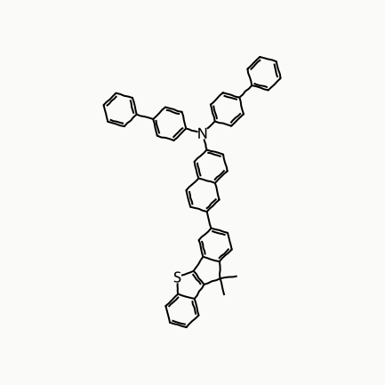 CC1(C)c2ccc(-c3ccc4cc(N(c5ccc(-c6ccccc6)cc5)c5ccc(-c6ccccc6)cc5)ccc4c3)cc2-c2sc3ccccc3c21